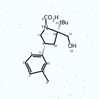 Cc1cccc([C@@H]2CN(C(=O)O)[C@](CO)(C(C)(C)C)C2)c1